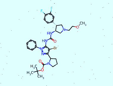 COCCN1C[C@@H](NC(=O)Nc2c(Br)c(C3CCCN3C(=O)OC(C)(C)C)nn2-c2ccccc2)[C@H](c2ccc(F)c(F)c2)C1